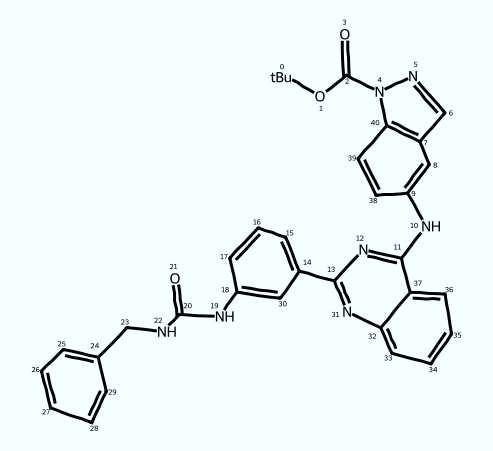 CC(C)(C)OC(=O)n1ncc2cc(Nc3nc(-c4cccc(NC(=O)NCc5ccccc5)c4)nc4ccccc34)ccc21